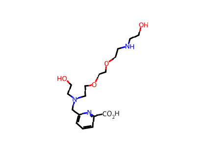 O=C(O)c1cccc(CN(CCO)CCOCCOCCNCCO)n1